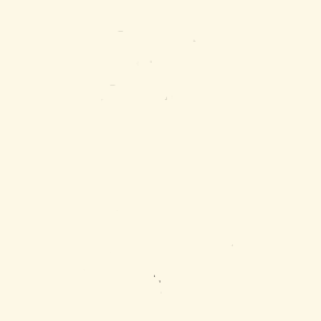 CO/C(=C\C(=O)C(F)(F)F)c1sc(C)nc1C